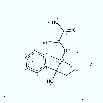 CCC(O)(c1ccccc1)[N+](C)(C)OC(=O)C(=O)O